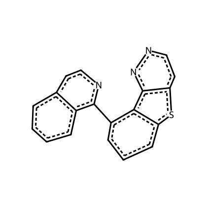 c1ccc2c(-c3cccc4sc5ccnnc5c34)nccc2c1